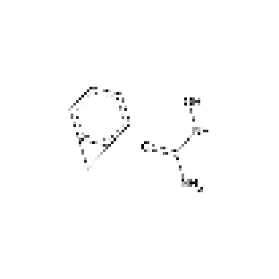 NC(=O)NO.c1ccc2c(c1)C2